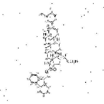 Cc1ccc(C2=CC[C@]3(C)[C@H]4CC[C@@H]5[C@H]6[C@H](C(C)C(=O)O)CC[C@]6(NC(=O)OCC6c7ccccc7-c7ccccc76)CC[C@@]5(C)[C@]4(C)CC[C@H]3C2(C)C)cc1F